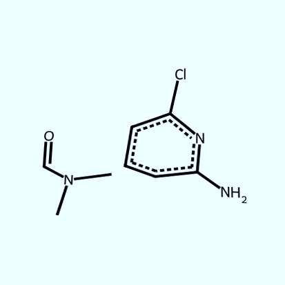 CN(C)C=O.Nc1cccc(Cl)n1